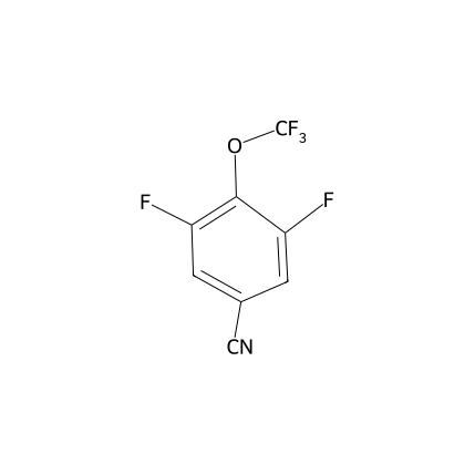 N#Cc1cc(F)c(OC(F)(F)F)c(F)c1